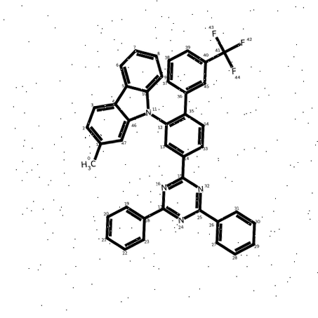 Cc1ccc2c3ccccc3n(-c3cc(-c4nc(-c5ccccc5)nc(-c5ccccc5)n4)ccc3-c3cccc(C(F)(F)F)c3)c2c1